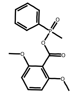 COc1cccc(OC)c1C(=O)OP(C)(=O)c1ccccc1